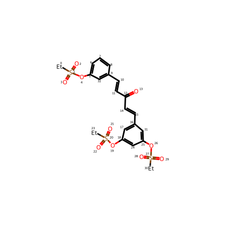 CCS(=O)(=O)Oc1cccc(/C=C/C(=O)/C=C/c2cc(OS(=O)(=O)CC)cc(OS(=O)(=O)CC)c2)c1